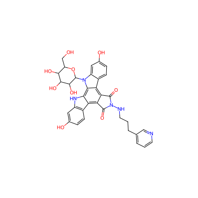 O=C1c2c(c3c4ccc(O)cc4n(C4OC(CO)C(O)C(O)C4O)c3c3[nH]c4cc(O)ccc4c23)C(=O)N1NCCCc1cccnc1